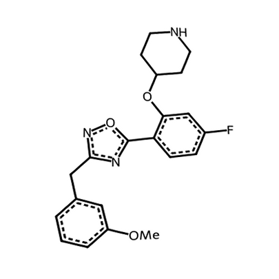 COc1cccc(Cc2noc(-c3ccc(F)cc3OC3CCNCC3)n2)c1